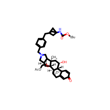 CC(=O)OCC(=O)[C@@]12CN(Cc3ccc(CC45CC(NC(=O)OC(C)(C)C)(C4)C5)cc3)C[C@@H]1C[C@H]1[C@@H]3CCC4=CC(=O)C=C[C@]4(C)[C@H]3[C@@H](O)C[C@@]12C